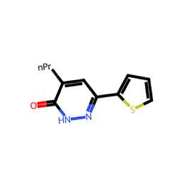 CCCc1cc(-c2cccs2)n[nH]c1=O